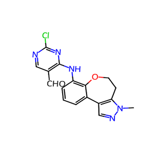 Cn1ncc2c1CCOc1c(Nc3nc(Cl)ncc3C=O)cccc1-2